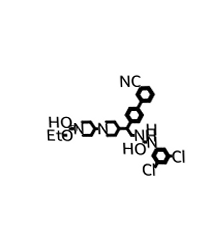 CCO[C@@H](O)N1CCC(N2CCC(C(CNC(O)Nc3cc(Cl)cc(Cl)c3)c3ccc(-c4cccc(C#N)c4)cc3)CC2)CC1